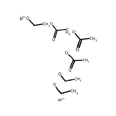 CC(=O)[O-].CC(=O)[O-].CC(=O)[O-].CC[O-].CC[O-].CC[O-].[Al+3].[Al+3]